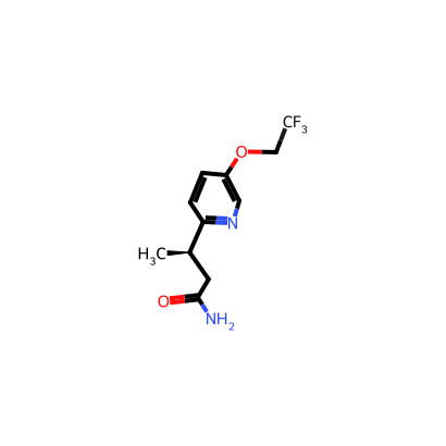 C[C@H](CC(N)=O)c1ccc(OCC(F)(F)F)cn1